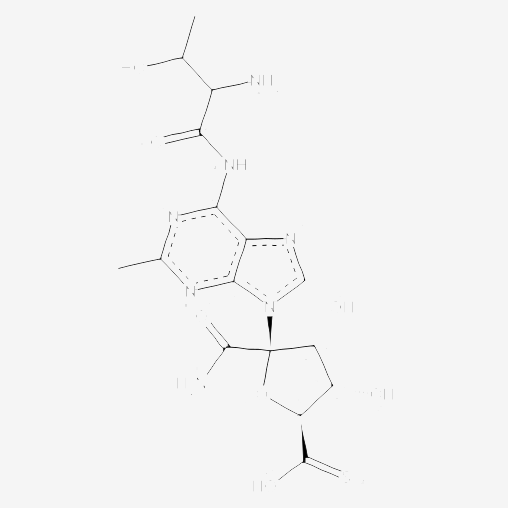 Cc1nc(NC(=O)C(N)C(C)O)c2ncn([C@]3(C(N)=O)O[C@H](C(O)=S)[C@@H](O)[C@H]3O)c2n1